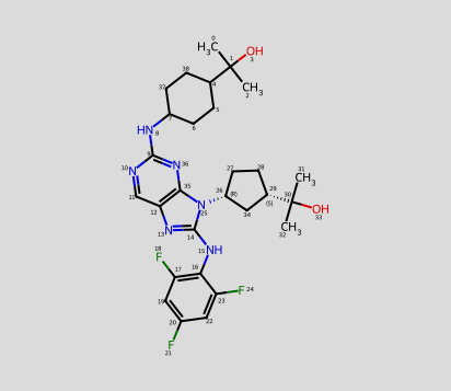 CC(C)(O)C1CCC(Nc2ncc3nc(Nc4c(F)cc(F)cc4F)n([C@@H]4CC[C@H](C(C)(C)O)C4)c3n2)CC1